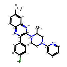 CC1CN(c2ccccn2)CCN1c1nc2cc(C(=O)O)ccc2nc1-c1ccc(F)cc1